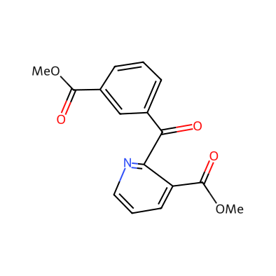 COC(=O)c1cccc(C(=O)c2ncccc2C(=O)OC)c1